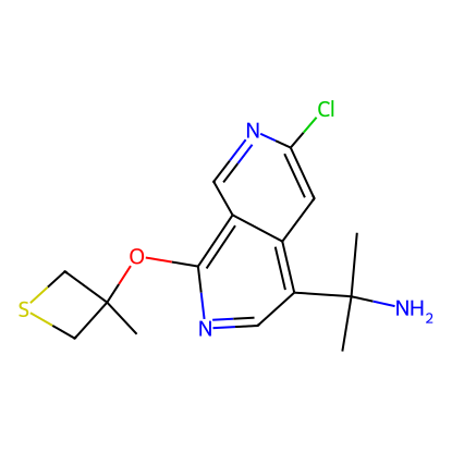 CC1(Oc2ncc(C(C)(C)N)c3cc(Cl)ncc23)CSC1